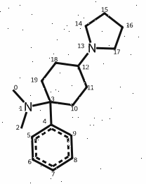 CN(C)C1(c2ccccc2)CC[C](N2CCCC2)CC1